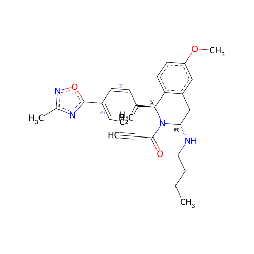 C#CC(=O)N1[C@@H](NCCCC)Cc2cc(OC)ccc2[C@@H]1C(=C)/C=C\C(=C/C)c1nc(C)no1